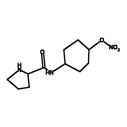 O=C(NC1CCC(O[N+](=O)[O-])CC1)C1CCCN1